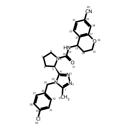 Cc1nnc([C@H]2CCCN2C(=O)NC2CCOc3cc(C#N)ccc32)n1Cc1ccc(Cl)cc1